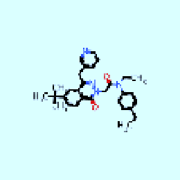 CCc1ccc(N(CC)C(=O)Cn2nc(Cc3cccnc3)c3cc(C(C)(C)C)ccc3c2=O)cc1